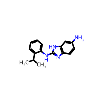 CC(C)c1ccccc1Nc1nc2ccc(N)cc2[nH]1